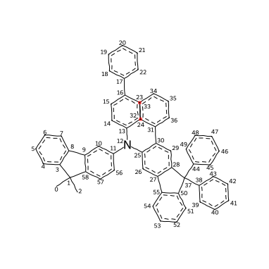 CC1(C)c2ccccc2-c2cc(N(c3ccc(-c4ccccc4)cc3)c3cc4c(cc3-c3ccccc3)C(c3ccccc3)(c3ccccc3)c3ccccc3-4)ccc21